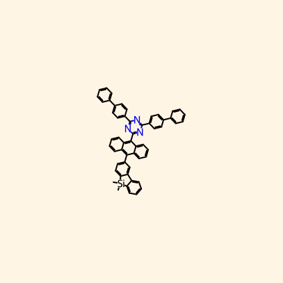 C[Si]1(C)c2ccccc2-c2cc(-c3c4ccccc4c(-c4nc(-c5ccc(-c6ccccc6)cc5)nc(-c5ccc(-c6ccccc6)cc5)n4)c4ccccc34)ccc21